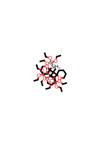 CCO[Si](OCC)(OCC)[SiH2]C1(C(C)(C2([SiH2][Si](OCC)(OCC)OCC)CCCCO2)C2([SiH2][Si](OCC)(OCC)OCC)CCCCO2)CCCCO1